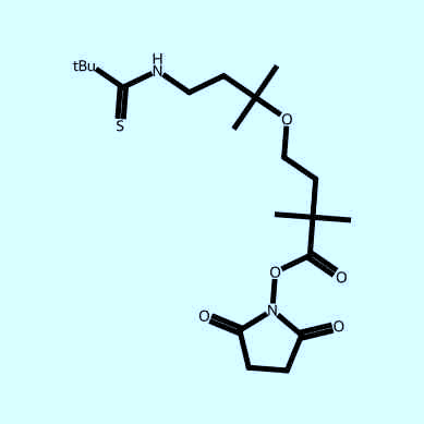 CC(C)(CCNC(=S)C(C)(C)C)OCCC(C)(C)C(=O)ON1C(=O)CCC1=O